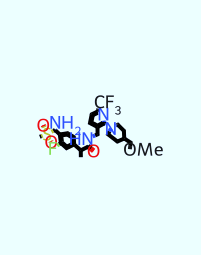 COCC1CCN(c2nc(C(F)(F)F)ccc2CNC(=O)C(C)c2ccc(C(N)S(C)(=O)=O)c(F)c2)CC1